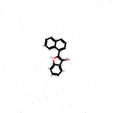 Brc1c(-c2cccc3ccccc23)oc2ccccc12